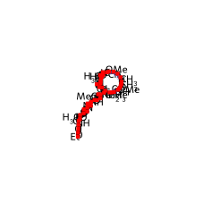 CCOCCOCCNC(=O)CN(C)CC(=O)N1CCN(c2ncc(CNC(=O)O[C@@H]3CC[C@@H](C[C@@H](N)[C@@H]4C[C@@H](OC)[C@H](C)/C=C(\C)[C@@H](O)[C@@H](OC)C(=O)[C@H](C)C[C@H](C)/C=C/C=C/C=C(\C)[C@@H](OC)C[C@@H]5CC[C@@H](C)[C@@](O)(O5)C(=O)C(=O)N5CCCCC5C(=O)O4)C[C@H]3OC)cn2)CC1